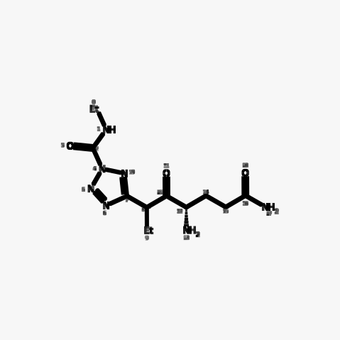 CCNC(=O)n1nnc([C](CC)C(=O)[C@@H](N)CCC(N)=O)n1